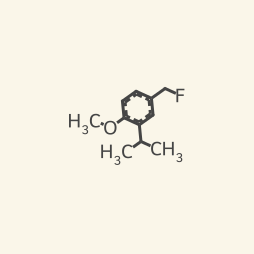 COc1ccc(CF)cc1C(C)C